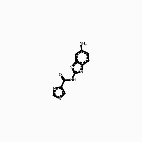 Nc1ccc2nc(NC(=O)c3cscn3)sc2c1